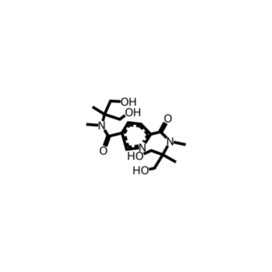 CN(C(=O)c1ccc(C(=O)N(C)C(C)(CO)CO)nc1)C(C)(CO)CO